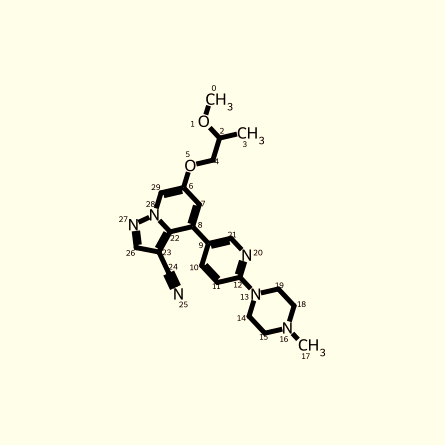 COC(C)COc1cc(-c2ccc(N3CCN(C)CC3)nc2)c2c(C#N)cnn2c1